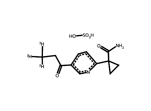 O=S(=O)(O)O.[2H]C([2H])([2H])CC(=O)c1ccc(C2(C(N)=O)CC2)nc1